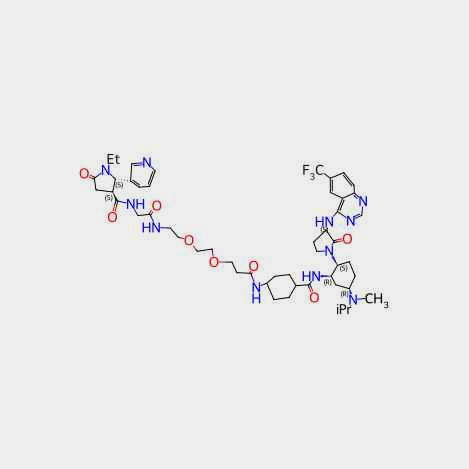 CCN1C(=O)C[C@H](C(=O)NCC(=O)NCCOCCOCCC(=O)NC2CCC(C(=O)N[C@@H]3C[C@H](N(C)C(C)C)CC[C@@H]3N3CC[C@H](Nc4ncnc5ccc(C(F)(F)F)cc45)C3=O)CC2)[C@H]1c1cccnc1